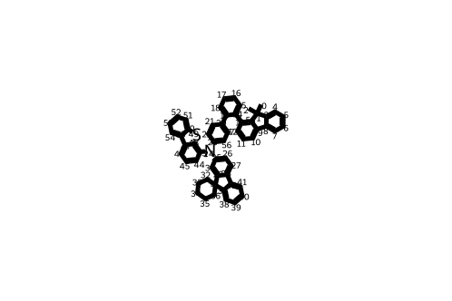 CC1(C)c2ccccc2-c2cccc(-c3ccccc3-c3ccc(N(c4ccc5c(c4)C4(CCCCC4)c4ccccc4-5)c4cccc5c4sc4ccccc45)cc3)c21